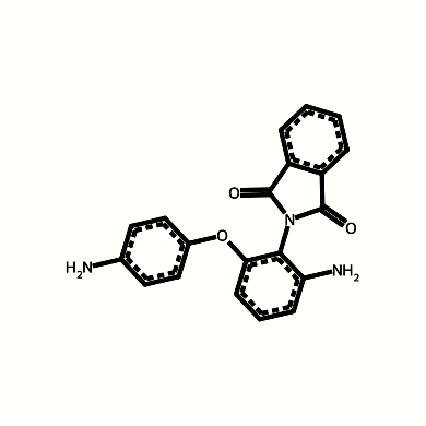 Nc1ccc(Oc2cccc(N)c2N2C(=O)c3ccccc3C2=O)cc1